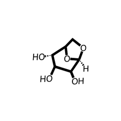 OC1C(O)[C@H](O)C2CO[C@@H]1O2